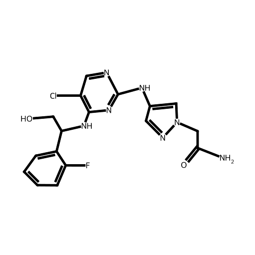 NC(=O)Cn1cc(Nc2ncc(Cl)c(NC(CO)c3ccccc3F)n2)cn1